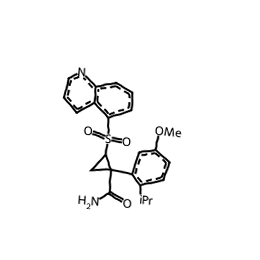 COc1ccc(C(C)C)c(C2(C(N)=O)CC2S(=O)(=O)c2cccc3ncccc23)c1